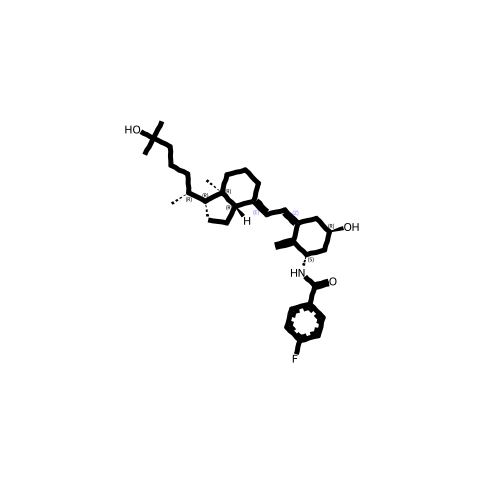 C=C1/C(=C\C=C2/CCC[C@]3(C)[C@@H]([C@H](C)CCCC(C)(C)O)CC[C@@H]23)C[C@@H](O)C[C@@H]1NC(=O)c1ccc(F)cc1